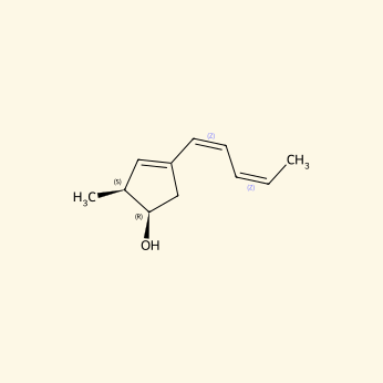 C/C=C\C=C/C1=C[C@H](C)[C@H](O)C1